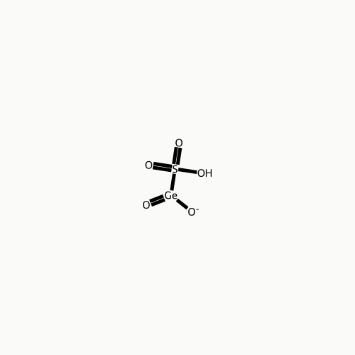 [O]=[Ge]([O-])[S](=O)(=O)O